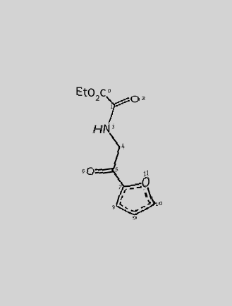 CCOC(=O)C(=O)NCC(=O)c1ccco1